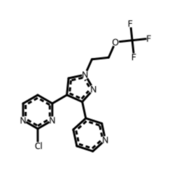 FC(F)(F)OCCn1cc(-c2ccnc(Cl)n2)c(-c2cccnc2)n1